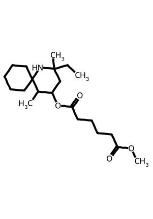 CCC1(C)CC(OC(=O)CCCCC(=O)OC)C(C)C2(CCCCC2)N1